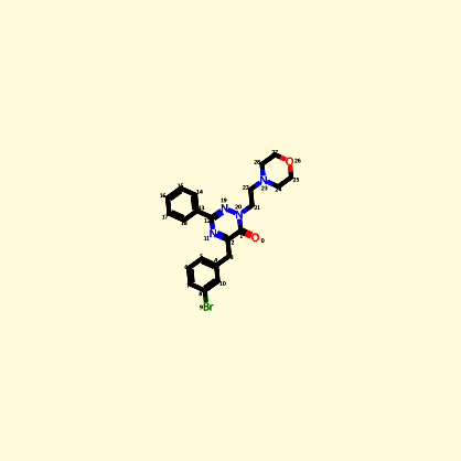 O=c1c(Cc2cccc(Br)c2)nc(-c2ccccc2)nn1CCN1CCOCC1